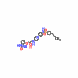 CCCCc1ccc(S(=O)(=O)Nc2ccc(N3CCC(NC[C@H](O)COc4cccc5[nH]c(=O)[nH]c45)CC3)cc2)cc1